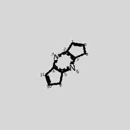 C1=Cc2nc3c(nc2C1)CC=C3